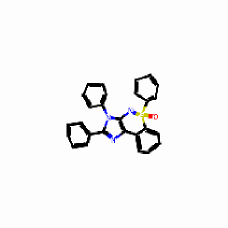 O=S1(c2ccccc2)=Nc2c(nc(-c3ccccc3)n2-c2ccccc2)-c2ccccc21